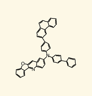 c1ccc(-c2ccc(N(c3ccc(-c4ccc5ccc6ccccc6c5c4)cc3)c3ccc4nc5c(cc4c3)oc3ccccc35)cc2)cc1